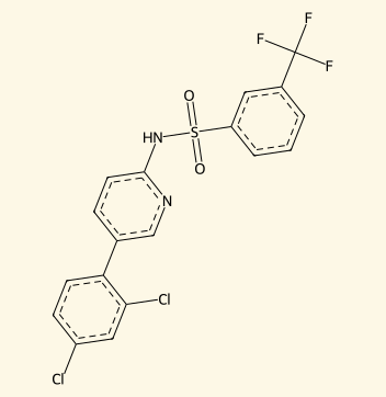 O=S(=O)(Nc1ccc(-c2ccc(Cl)cc2Cl)cn1)c1cccc(C(F)(F)F)c1